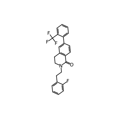 O=C1c2ccc(-c3ccccc3C(F)(F)F)cc2CCN1CCc1ccccc1F